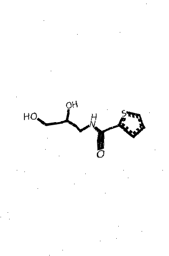 O=C(NCC(O)CO)c1cccs1